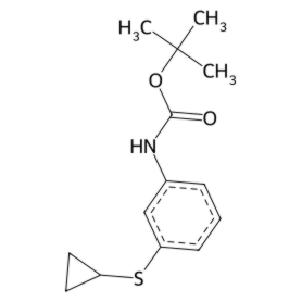 CC(C)(C)OC(=O)Nc1cccc(SC2CC2)c1